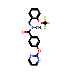 CN(Cc1ccccc1OC(F)(F)F)C(=O)c1ccc(Oc2ncccn2)cc1